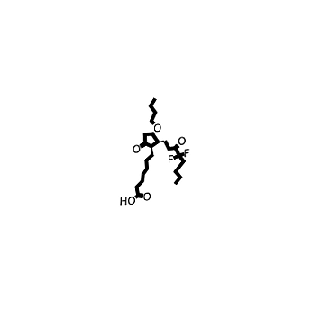 CCCCO[C@@H]1CC(=O)[C@H](CCCCCCC(=O)O)[C@H]1CCC(=O)C(F)(F)CCCC